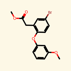 COC(=O)Cc1cc(Br)ccc1Oc1cccc(OC)c1